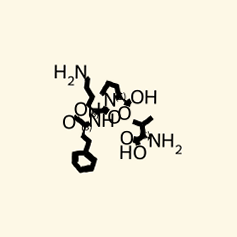 CC(C)[C@H](N)C(=O)O.NCCCC[C@H](N[C@@H](CCc1ccccc1)C(=O)O)C(=O)N1CCC[C@H]1C(=O)O